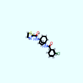 O=C(NC12CCCC(NC(=O)c3nccs3)(CC1)C2)c1cccc(Cl)c1